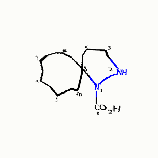 O=C(O)N1NCCC12CCCCC2